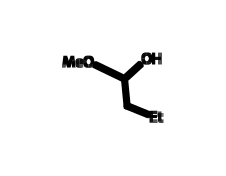 CCCC(O)OC